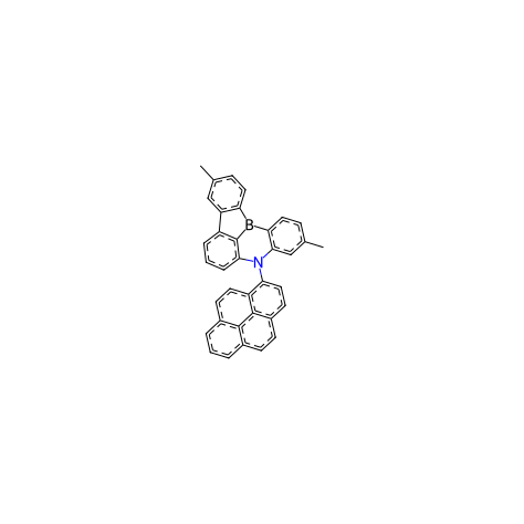 Cc1ccc2c(c1)-c1cccc3c1B2c1ccc(C)cc1N3c1ccc2ccc3cccc4ccc1c2c34